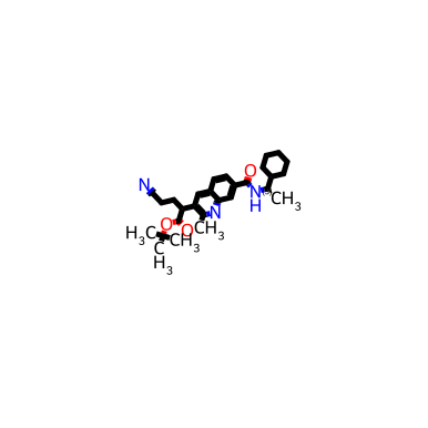 Cc1nc2cc(C(=O)N[C@@H](C)C3CCCCC3)ccc2cc1C(CCC#N)C(=O)OC(C)(C)C